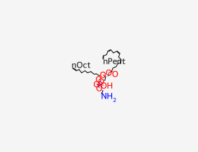 CCCCC/C=C\C/C=C\C/C=C\C/C=C\CCCC(=O)OC[C@H](COP(=O)(O)OCCN)OC(=O)CCCCCCC/C=C\CCCCCCCC